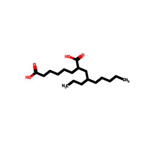 CCCCCC(CCC)CC(CCCCCC(=O)O)C(=O)O